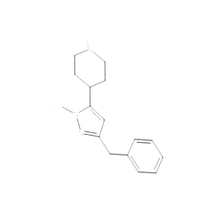 Cn1nc(Cc2ccccc2)cc1C1CCNCC1